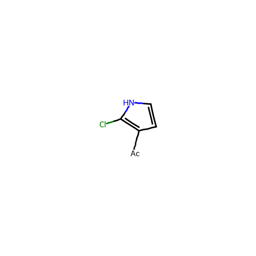 CC(=O)c1cc[nH]c1Cl